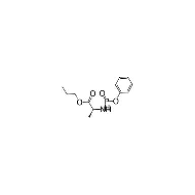 CCCOC(=O)[C@H](C)N[PH](=O)Oc1ccccc1